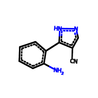 N#Cc1cn[nH]c1-c1ccccc1N